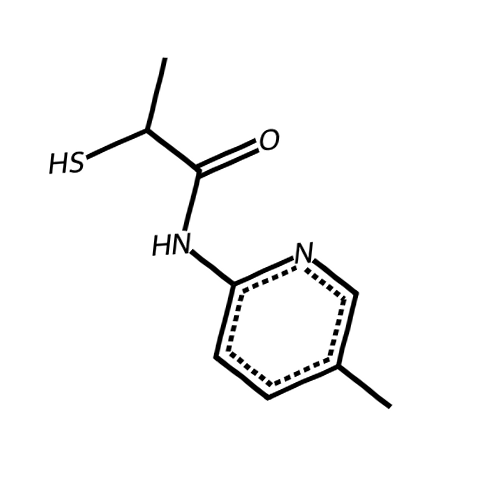 Cc1ccc(NC(=O)C(C)S)nc1